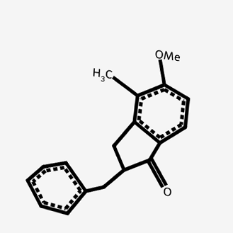 COc1ccc2c(c1C)CC(Cc1ccccc1)C2=O